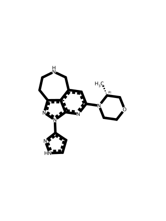 C[C@@H]1COCCN1c1cc2c3c(nn(-c4cc[nH]n4)c3n1)CCNC2